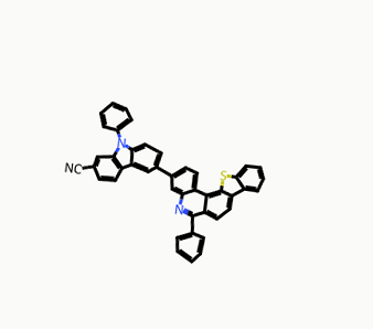 N#Cc1ccc2c3cc(-c4ccc5c(c4)nc(-c4ccccc4)c4ccc6c7ccccc7sc6c45)ccc3n(-c3ccccc3)c2c1